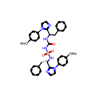 COc1ccc(-n2ccnc2C(Cc2ccccc2)NC(=O)NS(=O)(=O)N[C@@H](Cc2ccccc2)c2nccn2-c2ccc(OC)cc2)cc1